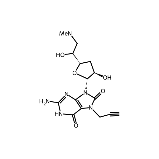 C#CCn1c(=O)n([C@@H]2O[C@H](C(O)CNC)C[C@H]2O)c2nc(N)[nH]c(=O)c21